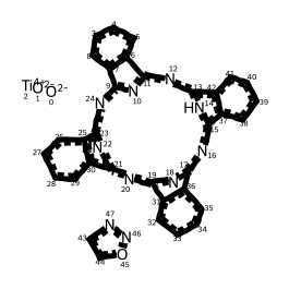 [O-2].[O-2].[Ti+4].c1ccc2c(c1)-c1nc-2nc2[nH]c(nc3nc(nc4[nH]c(n1)c1ccccc41)-c1ccccc1-3)c1ccccc21.c1conn1